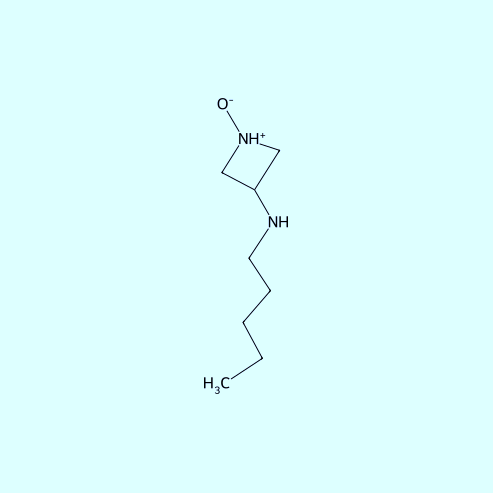 CCCCCNC1C[NH+]([O-])C1